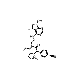 CCCN(CCNc1ncnc2c1[C@H](C)C[C@H]2O)C(=O)[C@@H](c1ccc(C#N)cc1)[C@@H]1CCCN1C